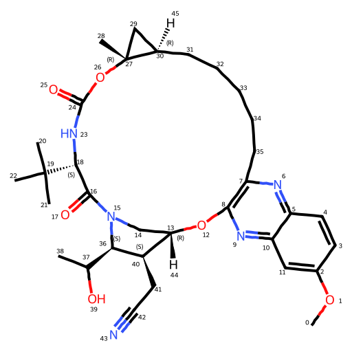 COc1ccc2nc3c(nc2c1)O[C@H]1CN(C(=O)[C@H](C(C)(C)C)NC(=O)O[C@]2(C)C[C@H]2CCCCC3)[C@H](C(C)O)[C@@H]1CC#N